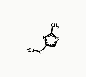 Cc1nc(OC(C)(C)C)cs1